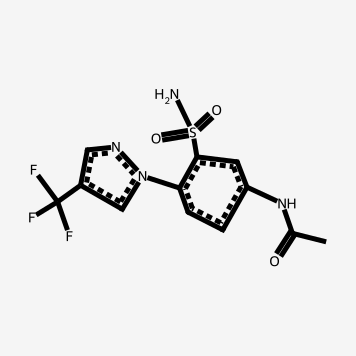 CC(=O)Nc1ccc(-n2cc(C(F)(F)F)cn2)c(S(N)(=O)=O)c1